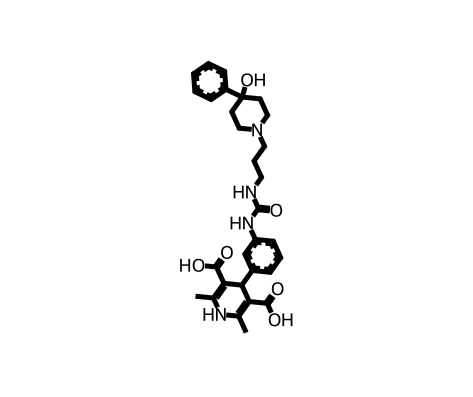 CC1=C(C(=O)O)C(c2cccc(NC(=O)NCCCN3CCC(O)(c4ccccc4)CC3)c2)C(C(=O)O)=C(C)N1